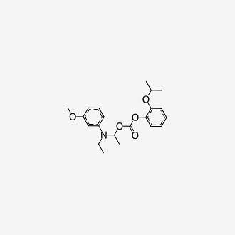 CCN(c1cccc(OC)c1)C(C)OC(=O)Oc1ccccc1OC(C)C